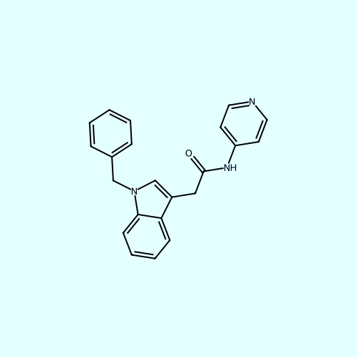 O=C(Cc1cn(Cc2ccccc2)c2ccccc12)Nc1ccncc1